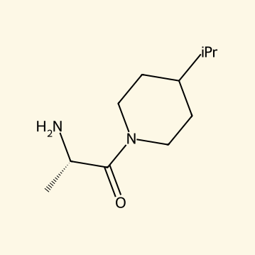 CC(C)C1CCN(C(=O)[C@H](C)N)CC1